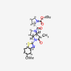 COc1ccc2sc(N3C(=O)[C@@H](C)[C@@H]4[C@@H]3CCN4C(=O)[C@@H]3CCCN3C(=O)OC(C)(C)C)nc2c1